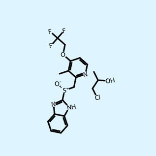 CC(O)CCl.Cc1c(OCC(F)(F)F)ccnc1C[S@@+]([O-])c1nc2ccccc2[nH]1